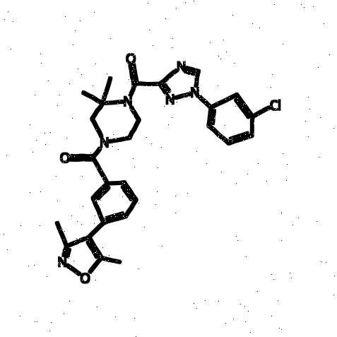 Cc1noc(C)c1-c1cccc(C(=O)N2CCN(C(=O)c3ncn(-c4cccc(Cl)c4)n3)C(C)(C)C2)c1